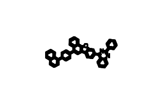 C1=CC(c2cccc3ccccc23)CC=C1c1cc2c3ccc(-c4nc(-c5ccccc5)nc5ccccc45)cc3oc2c2ccccc12